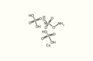 N[O][Mo](=[O])(=[O])[OH].O=S(=O)(O)O.O=S(=O)(O)O.[Ce]